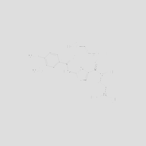 COc1ccc(C(=O)Nc2nc(C(=O)N(C)CCN(C)C)cs2)cc1OC.O=C(O)/C=C/C(=O)O